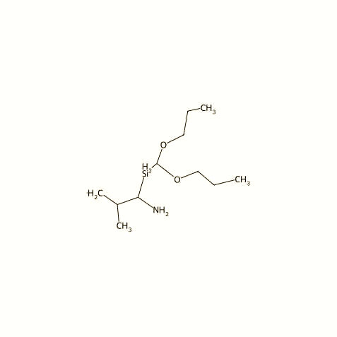 [CH2]C(C)C(N)[SiH2]C(OCCC)OCCC